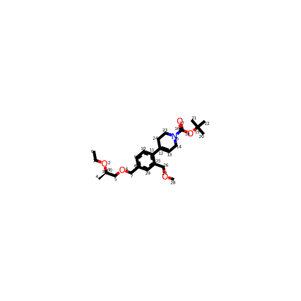 CCO[C@H](C)COCc1ccc(C2=CCN(C(=O)OC(C)(C)C)CC2)c(COC)c1